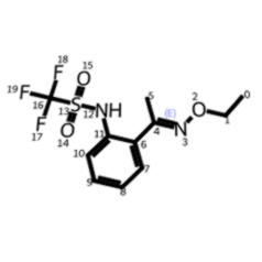 CCO/N=C(\C)c1ccccc1NS(=O)(=O)C(F)(F)F